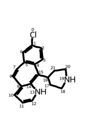 Clc1ccc2c(c1)C=CC1=CC=CNC1=C2C1CCNCC1